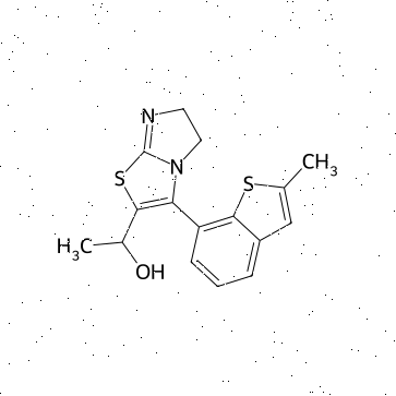 Cc1cc2cccc(C3=C(C(C)O)SC4=NCCN43)c2s1